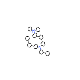 c1ccc(-c2cccc(-c3ccc(N(c4cccc(-c5ccccc5)c4)c4cccc(-c5cccc(-c6cccc7c6c6ccccc6n7-c6ccccc6)c5)c4)cc3)c2)cc1